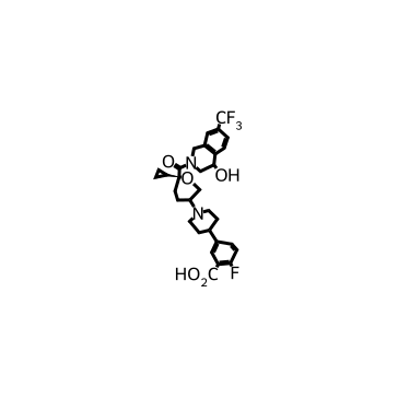 O=C(O)c1cc(C2CCN(C3CC[C@@](C(=O)N4Cc5cc(C(F)(F)F)ccc5C(O)C4)(C4CC4)OC3)CC2)ccc1F